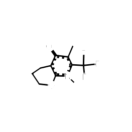 Cc1c(C(F)(F)F)n(C)c2c(c1=O)CCCO2